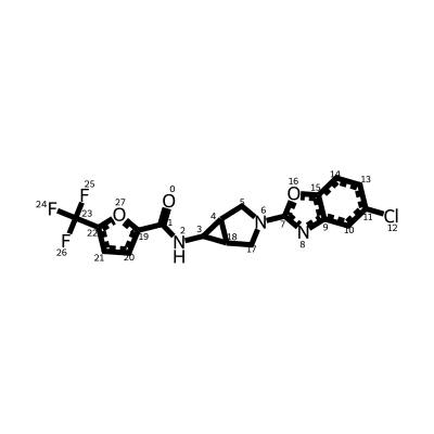 O=C(NC1C2CN(c3nc4cc(Cl)ccc4o3)CC21)c1ccc(C(F)(F)F)o1